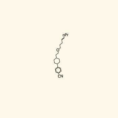 CCC/C=C/CCCOCCC1CCC(c2ccc(C#N)cc2)CC1